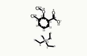 CC[N+](C)(CC)CC.O=C([O-])c1cccc(Cl)c1OCl